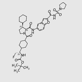 CC(C)(C)OC(=O)N[C@H](CF)C1CCC(C(=O)N2CC[C@@H](C3CCCCC3)[C@H]2C(=O)Nc2ccc3oc(C(=O)NS(=O)(=O)N4CCCC4)cc3c2)CC1